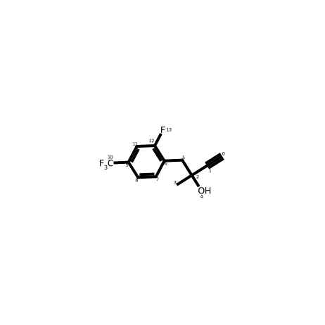 C#CC(C)(O)Cc1ccc(C(F)(F)F)cc1F